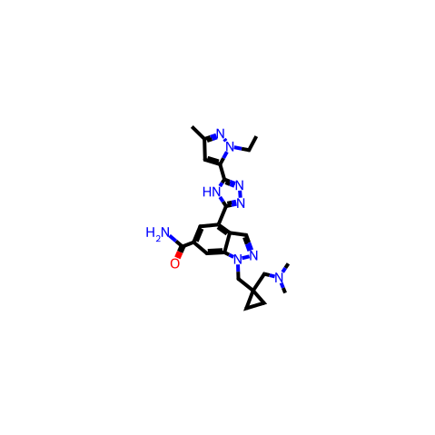 CCn1nc(C)cc1-c1nnc(-c2cc(C(N)=O)cc3c2cnn3CC2(CN(C)C)CC2)[nH]1